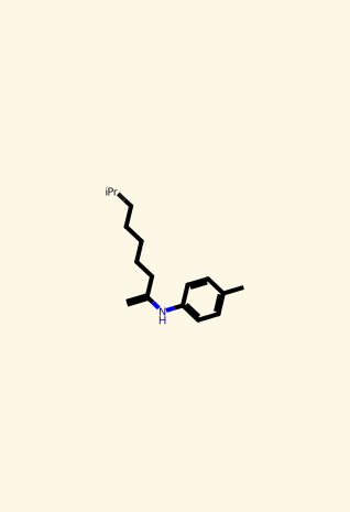 C=C(CCCCCC(C)C)Nc1ccc(C)cc1